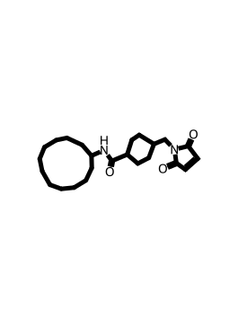 O=C(NC1CCCCCCCCCCC1)C1CCC(CN2C(=O)C=CC2=O)CC1